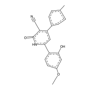 COc1ccc(-c2cc(-c3ccc(C)cc3)c(C#N)c(=O)[nH]2)c(O)c1